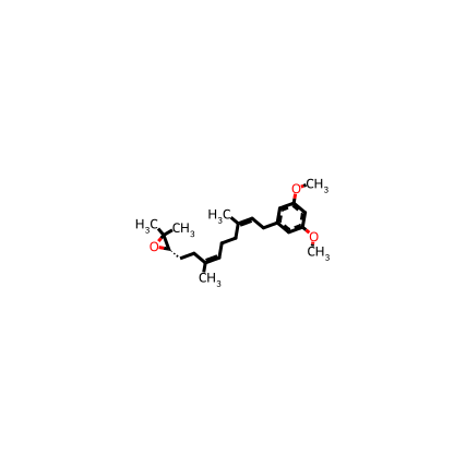 COc1cc(CC=C(C)CCC=C(C)CC[C@@H]2OC2(C)C)cc(OC)c1